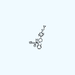 CC(C)(C)[S@@+]([O-])N[C@@H]1c2ccccc2C[C@]12CC[C@H](c1cnc(SCC3CC3)cn1)CC2